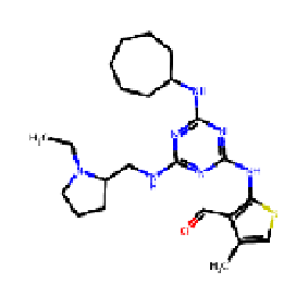 CCN1CCCC1CNc1nc(Nc2scc(C)c2C=O)nc(NC2CCCCCC2)n1